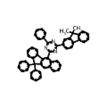 CC1(C)c2ccccc2-c2ccc(-c3nc(-c4ccccc4)nc(-c4c5c(cc6ccccc46)C(c4ccccc4)(c4ccccc4)c4ccccc4-5)n3)cc21